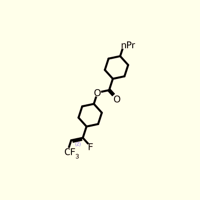 CCCC1CCC(C(=O)OC2CCC(/C(F)=C/C(F)(F)F)CC2)CC1